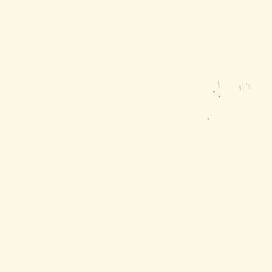 C=CCCCCCCCCC=CC=CC(=O)NCC(C)C